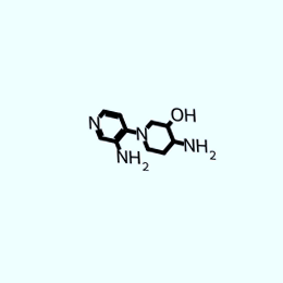 Nc1cnccc1N1CCC(N)C(O)C1